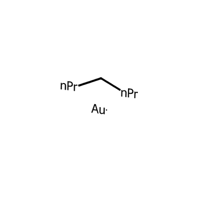 CCCCCCC.[Au]